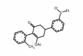 CC[S+]([O-])c1cccc(C2CC(=O)C(c3ccccc3C)=C(OC(C)=O)C2)c1